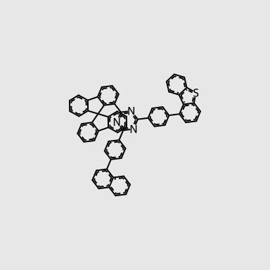 c1ccc2c(c1)-c1ccccc1C21c2ccccc2-c2cccc(-c3nc(-c4ccc(-c5cccc6ccccc56)cc4)nc(-c4ccc(-c5cccc6sc7ccccc7c56)cc4)n3)c21